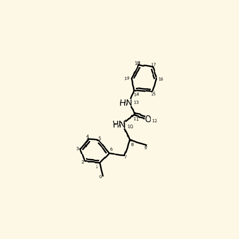 Cc1ccccc1CC(C)NC(=O)Nc1ccccc1